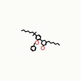 CCCCCCC1=CC(=O)CC(c2ccc(C(C)(C)CCCCCC)cc2OCc2ccccc2)C1